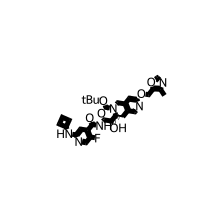 Cc1ncoc1COc1cc2c(cn1)C[C@@H]([C@H](O)CNC(=O)c1cc(NC3CCC3)ncc1F)N(C(=O)OC(C)(C)C)C2